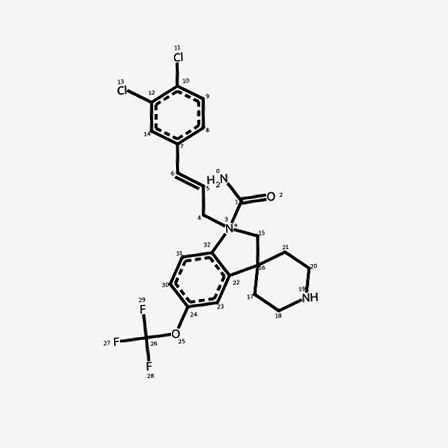 NC(=O)[N+]1(CC=Cc2ccc(Cl)c(Cl)c2)CC2(CCNCC2)c2cc(OC(F)(F)F)ccc21